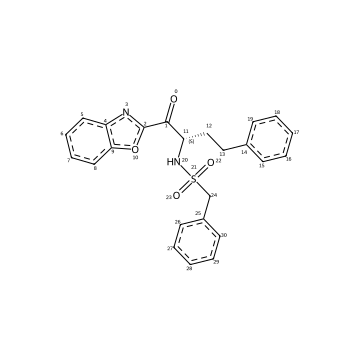 O=C(c1nc2ccccc2o1)[C@H](CCc1ccccc1)NS(=O)(=O)Cc1ccccc1